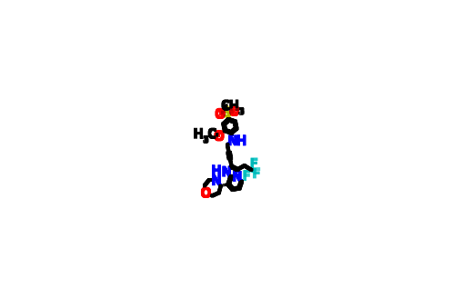 COc1cc(S(C)(=O)=O)ccc1NCC#Cc1nc2c([C@@H]3CCOCCN3)cccn2c1CC(F)(F)F